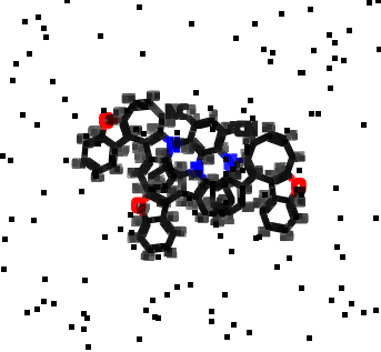 N#Cc1cc(C#N)c(-n2c3c(c4ccccc42)-c2c(oc4ccccc24)CC#CC3)c(-n2c3c(c4c2CCc2oc5ccccc5c2-4)C=CCC3)c1-n1c2c(c3ccccc31)-c1c(oc3ccccc13)C#CC2